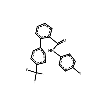 O=C(Nc1ccc(I)cc1)c1ccccc1-c1ccc(C(F)(F)F)cc1